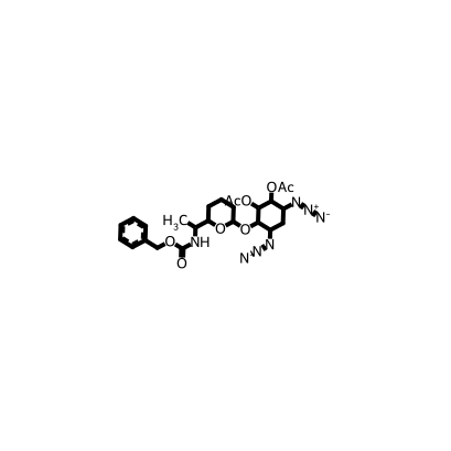 CC(=O)OC1C(N=[N+]=[N-])CC(N=[N+]=[N-])C(OC2CCCC(C(C)NC(=O)OCc3ccccc3)O2)C1OC(C)=O